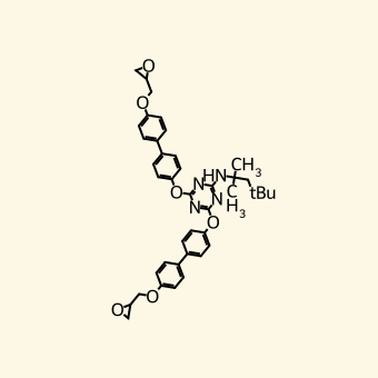 CC(C)(C)CC(C)(C)Nc1nc(Oc2ccc(-c3ccc(OCC4CO4)cc3)cc2)nc(Oc2ccc(-c3ccc(OCC4CO4)cc3)cc2)n1